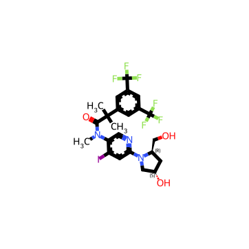 CN(C(=O)C(C)(C)c1cc(C(F)(F)F)cc(C(F)(F)F)c1)c1cnc(N2C[C@@H](O)C[C@@H]2CO)cc1I